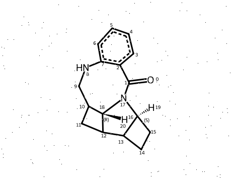 O=C1c2ccccc2NCC2CC3C4CC[C@@H]4N1[C@@H]23